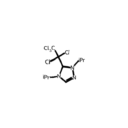 CC(C)N1C=NN(C(C)C)C1C(Cl)(Cl)C(Cl)(Cl)Cl